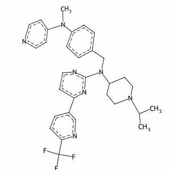 CC(C)N1CCC(N(Cc2ccc(N(C)c3ccncc3)cc2)c2nccc(-c3ccc(C(F)(F)F)nc3)n2)CC1